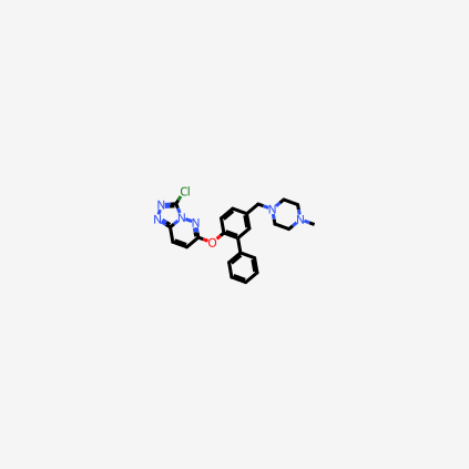 CN1CCN(Cc2ccc(Oc3ccc4nnc(Cl)n4n3)c(-c3ccccc3)c2)CC1